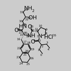 CCC(CC)C(=O)N1CCC[C@H]1C(=O)N[C@H](Cc1ccc2c(c1)CCCC2)C(=O)NCC(O)CN.Cl